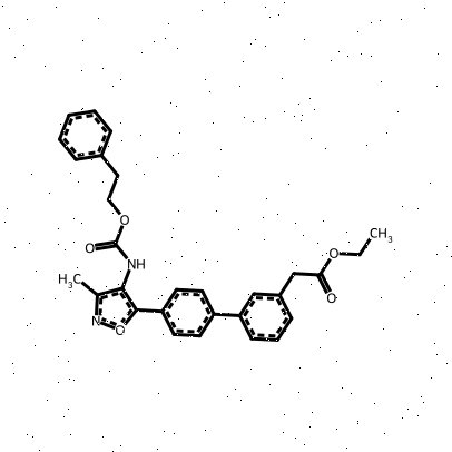 CCOC(=O)Cc1cccc(-c2ccc(-c3onc(C)c3NC(=O)OCCc3ccccc3)cc2)c1